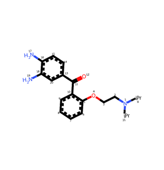 CC(C)N(CCOc1ccccc1C(=O)c1ccc(N)c(N)c1)C(C)C